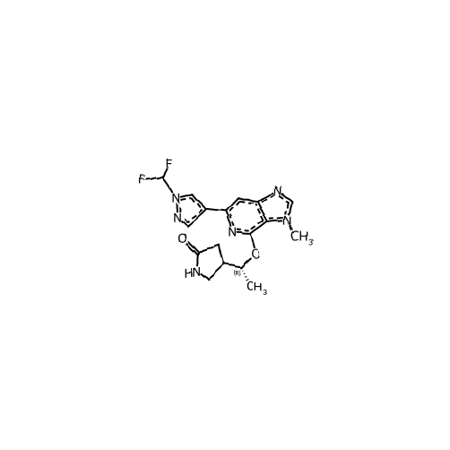 C[C@@H](Oc1nc(-c2cnn(C(F)F)c2)cc2ncn(C)c12)C1CNC(=O)C1